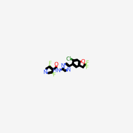 O=C(Nc1cnc(-c2cc3c(cc2Cl)OC(F)(F)C3)cn1)c1c(F)cncc1F